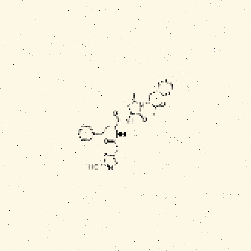 CC(=O)[C@H](Cc1ccccc1)N1C(=O)[C@@H](NC(=O)[C@H](CCc2ccccc2)NC(=O)Cc2cnc(O)s2)CC1C